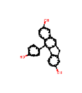 Oc1ccc(-c2c3c(cc4cc(O)ccc24)Cc2cc(O)ccc2-3)cc1